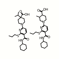 CCCSc1nc(N2CCC(C(=O)O)(C(C)C)CC2)ccc1C(=O)NC1CCCCC1.CCCSc1nc(N2CCC(C(=O)O)C(C)C2)ccc1C(=O)NC1CCCCC1